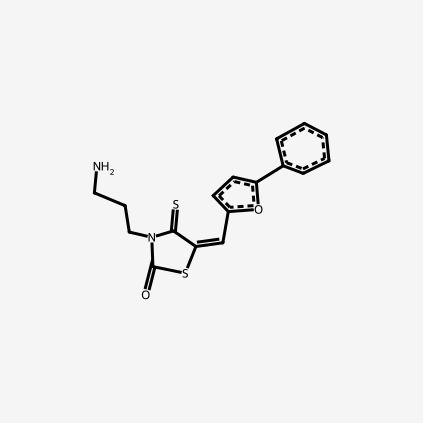 NCCCN1C(=O)SC(=Cc2ccc(-c3ccccc3)o2)C1=S